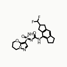 NS(=O)(=NC(=O)Nc1c2c(cc3c1CC(C(F)F)C3)CCC2)c1cnn2c1OCCC2